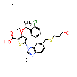 C[C@@H](Oc1cc(-n2cnc3ccc(CSCCCO)cc32)sc1C(=O)O)c1ccccc1Cl